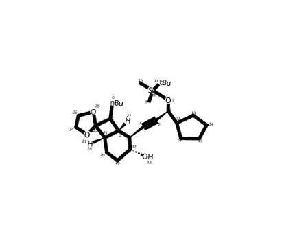 CCCCC1[C@@H]2[C@@H](C#C[C@@H](O[Si](C)(C)C(C)(C)C)C3CCCC3)[C@H](O)CC[C@@H]2C12OCCO2